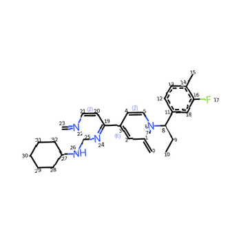 C=C/C=C(\C=C/N(C)C(CC)c1ccc(C)c(F)c1)C(/C=C\N=C)=NCNC1CCCCC1